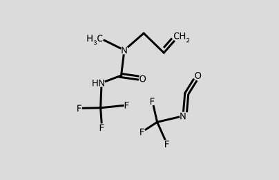 C=CCN(C)C(=O)NC(F)(F)F.O=C=NC(F)(F)F